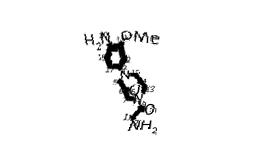 COc1cc(N2CC3CN(C(=O)CN)CC(C2)O3)ccc1N